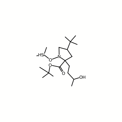 CC(O)CCC1(C(=O)OC(C)(C)C)CC(C(C)(C)C)CN1O[SiH](C)C